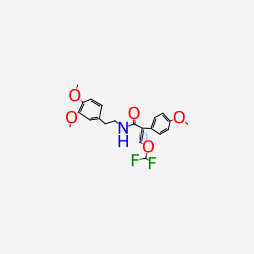 COc1ccc(/C(=C\OC(F)F)C(=O)NCCc2ccc(OC)c(OC)c2)cc1